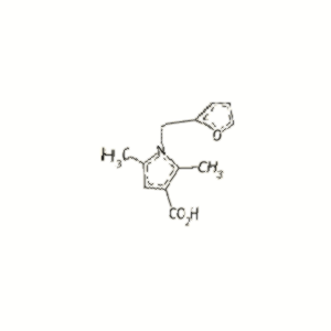 Cc1cc(C(=O)O)c(C)n1Cc1ccco1